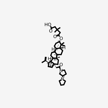 C=C(C)[C@@H]1CC[C@]2(CC(=O)N3CC[C@H](N4CCCC4)C3)CC[C@]3(C)[C@H](CC[C@@H]4[C@@]5(C)CC[C@H](OC(=O)CC(C)(C)CC(=O)O)C(C)(C)[C@@H]5CC[C@]43C)[C@@H]12